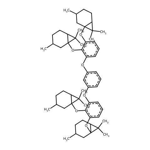 CC1CCC2C(C)(C)C2(Oc2cccc(Oc3cccc(Oc4cccc(OC56CC(C)CCC5C6(C)C)c4OC45CC(C)CCC4C5(C)C)c3)c2OC23CC(C)CCC2C3(C)C)C1